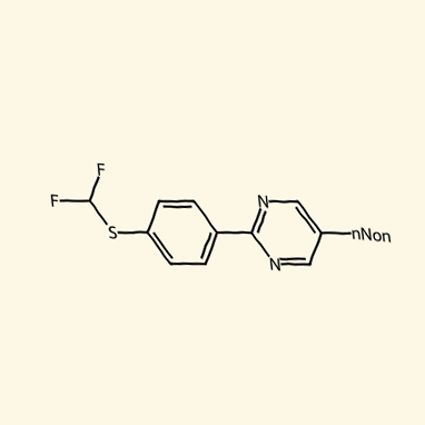 CCCCCCCCCc1cnc(-c2ccc(SC(F)F)cc2)nc1